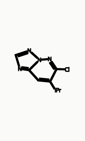 CC(C)c1cc2ncnn2nc1Cl